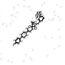 O=C(NCc1cccc(S(F)(F)(F)(F)F)c1)C1(C2CC2)CC[C@@H](N2CCC(c3ccc(F)cc3)CC2)CO1